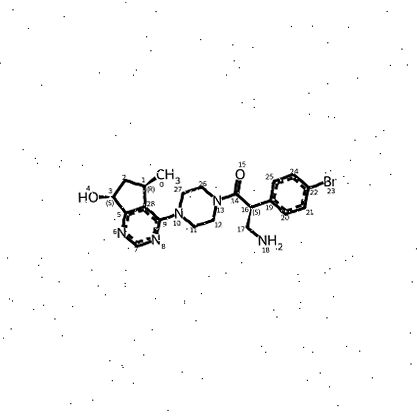 C[C@@H]1C[C@H](O)c2ncnc(N3CCN(C(=O)[C@H](CN)c4ccc(Br)cc4)CC3)c21